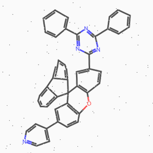 c1ccc(-c2nc(-c3ccccc3)nc(-c3ccc4c(c3)C3(c5cc(-c6ccncc6)ccc5O4)c4ccccc4-c4ccccc43)n2)cc1